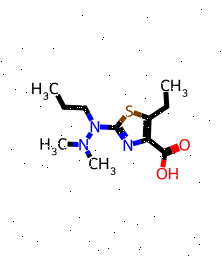 CCCN(c1nc(C(=O)O)c(CC)s1)N(C)C